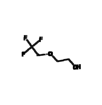 OCCO[CH]C(F)(F)F